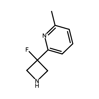 Cc1cccc(C2(F)CNC2)n1